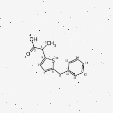 CC(C(=O)O)c1ccc(Cc2ccccc2)s1